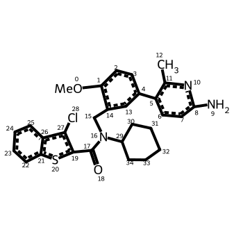 COc1ccc(-c2ccc(N)nc2C)cc1CN(C(=O)c1sc2ccccc2c1Cl)C1CCCCC1